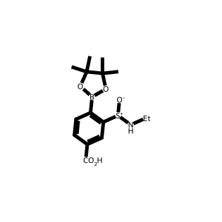 CCN[S+]([O-])c1cc(C(=O)O)ccc1B1OC(C)(C)C(C)(C)O1